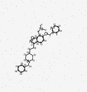 CN(C)Cc1c(OCc2ccccn2)ccc2c(CCC3CCN(Cc4ccccc4)CC3)noc12